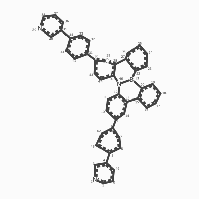 c1cncc(-c2ccc(-c3ccc4c(c3)-c3ccccc3B3c5ccccc5-c5cc(-c6ccc(-c7cccnc7)cc6)ccc5N34)cc2)c1